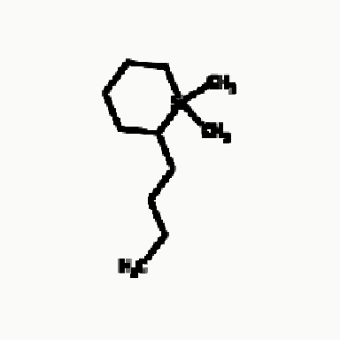 CCCCC1CCCC[Si]1(C)C